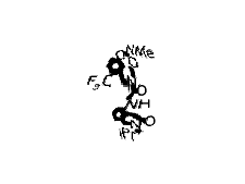 CNC(=O)OCCN(Cc1ccccc1C(F)(F)F)C(=O)CNc1cccc2c1CC(=O)N(CC(C)C)C2